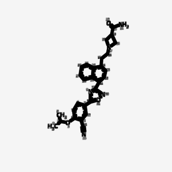 CC(C)Oc1ccc(-c2nc(-c3ccc(CCN4CC(C(N)=O)C4)c4ccccc34)no2)cc1C#N